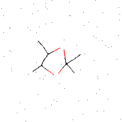 CCCC1(CC)OC(C)C(C)O1